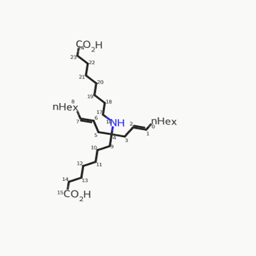 CCCCCCC=CCC(CC=CCCCCCC)(CCCCCCC(=O)O)NCCCCCCCC(=O)O